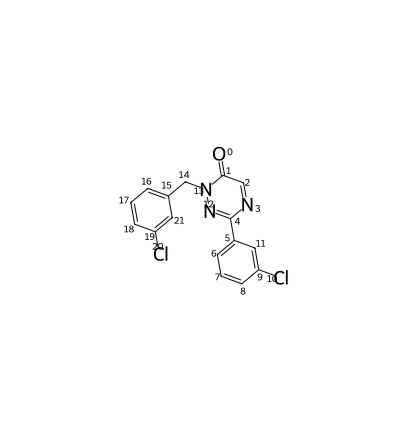 O=c1cnc(-c2cccc(Cl)c2)nn1Cc1cccc(Cl)c1